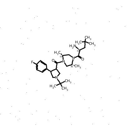 C[C@@H]1CN(C(=O)C2CN(C(C)(C)C)CC2c2ccc(F)cc2)[C@@H](C)CN1C(=O)[C@@H](N)CC(C)(C)C